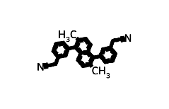 Cc1ccc2c(-c3cccc(CC#N)c3)c(C)ccc2c1-c1cccc(CC#N)c1